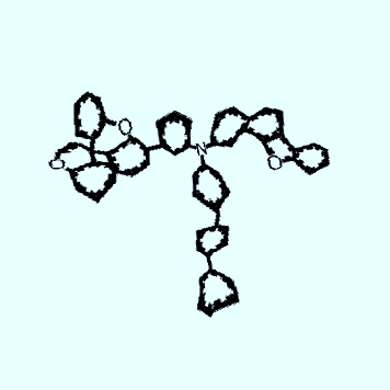 c1ccc(-c2ccc(-c3ccc(N(c4cccc(-c5cccc6c5Oc5ccccc5C65c6ccccc6Oc6ccccc65)c4)c4ccc5ccc6c7ccccc7oc6c5c4)cc3)cc2)cc1